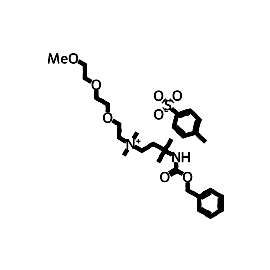 COCCOCCOCC[N+](C)(C)CCC(C)(C)NC(=O)OCc1ccccc1.Cc1ccc(S(=O)(=O)[O-])cc1